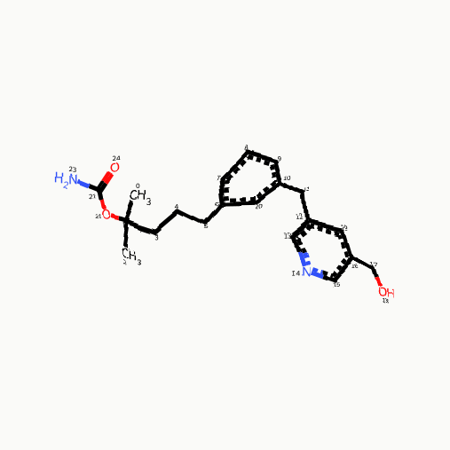 CC(C)(CCCc1cccc(Cc2cncc(CO)c2)c1)OC(N)=O